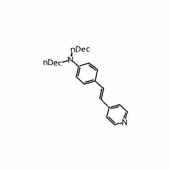 CCCCCCCCCCN(CCCCCCCCCC)c1ccc(/C=C/c2ccncc2)cc1